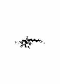 CCCCCCC1NC2=C(N(C)[S+]([O-])N(C)C2)[NH+]1[O-]